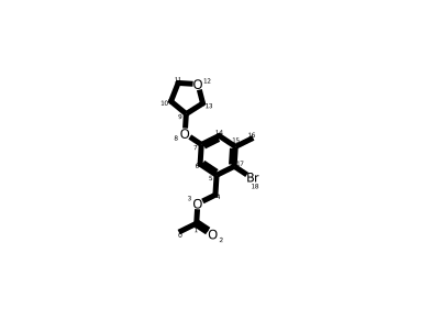 CC(=O)OCc1cc(OC2CCOC2)cc(C)c1Br